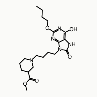 CCCCOc1nc(O)c2[nH]c(=O)n(CCCCN3CCCC(C(=O)OC)C3)c2n1